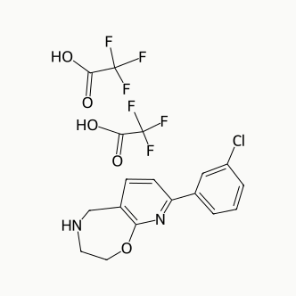 Clc1cccc(-c2ccc3c(n2)OCCNC3)c1.O=C(O)C(F)(F)F.O=C(O)C(F)(F)F